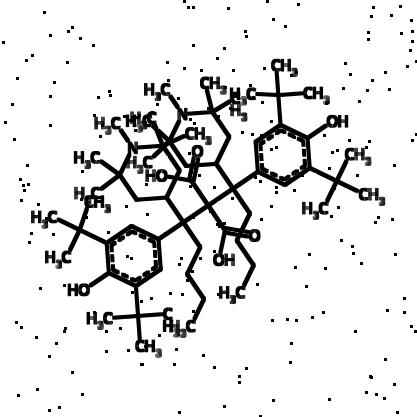 CCCCC(c1cc(C(C)(C)C)c(O)c(C(C)(C)C)c1)(C1CC(C)(C)N(C)C(C)(C)C1)C(C(=O)O)(C(=O)O)C(CCCC)(c1cc(C(C)(C)C)c(O)c(C(C)(C)C)c1)C1CC(C)(C)N(C)C(C)(C)C1